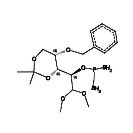 BP(B)O[C@@H](C(OC)OC)[C@@H]1OC(C)(C)OC[C@@H]1OCc1ccccc1